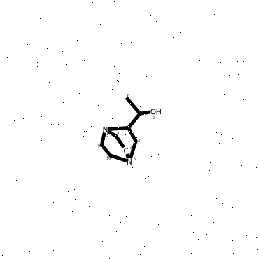 CC(O)C1CN2CCN1CC2